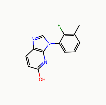 Cc1cccc(-n2cnc3ccc(O)nc32)c1F